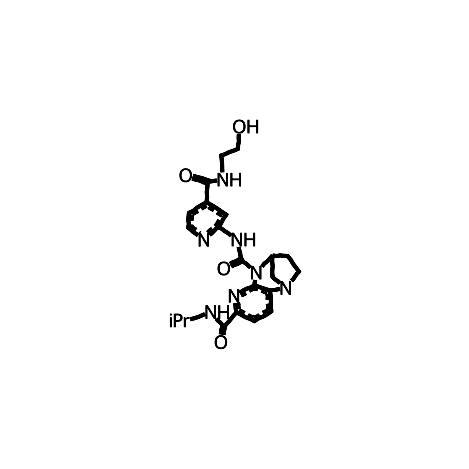 CC(C)NC(=O)c1ccc2c(n1)N(C(=O)Nc1cc(C(=O)NCCO)ccn1)C1CCN2C1